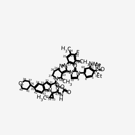 CCP(=O)(CC)c1ccc(-n2ccn(-c3c4c(nn3-c3cc(C)c(F)c(C)c3)CCN(C(=O)c3cc5cc(C6CCOCC6)ccc5n3[C@@]3(c5noc(=O)[nH]5)C[C@@H]3C)C4C)c2=O)cc1NC